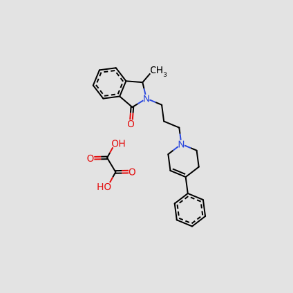 CC1c2ccccc2C(=O)N1CCCN1CC=C(c2ccccc2)CC1.O=C(O)C(=O)O